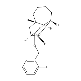 C[C@@]12C[C@@H]3CCCC[C@H](O1)[C@H]3C[C@@H]2OCc1ccccc1F